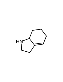 C1=C2CCNC2CCC1